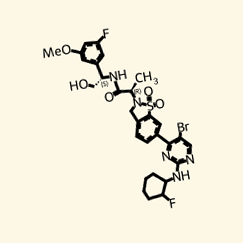 COc1cc(F)cc([C@@H](CO)NC(=O)[C@@H](C)N2Cc3ccc(-c4nc(NC5CCCCC5F)ncc4Br)cc3S2(=O)=O)c1